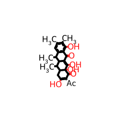 CC(=O)C1=C(O)CC2C(C)C3C(=C(O)C2(O)C1=O)C(=O)c1c(cc(C)c(C)c1O)C3C